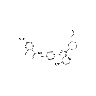 C=CCN1CCCC(n2nc(-c3ccc(CNC(=O)c4ccc(OC)cc4F)cc3)c3c(N)ncnc32)C1